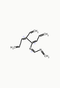 C=C\C=C(C=C)/C(=C\C=C)/N=C\N=C